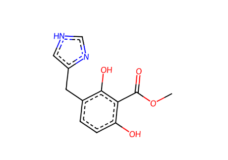 COC(=O)c1c(O)ccc(Cc2c[nH]cn2)c1O